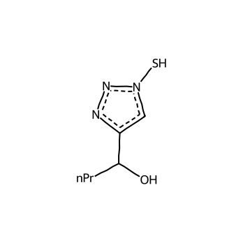 CCCC(O)c1cn(S)nn1